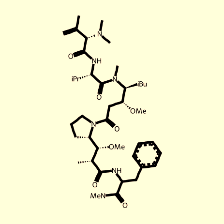 C=C(C)[C@@H](C(=O)N[C@H](C(=O)N(C)[C@@H](C(C)CC)[C@@H](CC(=O)N1CCC[C@H]1[C@H](OC)[C@@H](C)C(=O)NC(Cc1ccccc1)C(=O)NC)OC)C(C)C)N(C)C